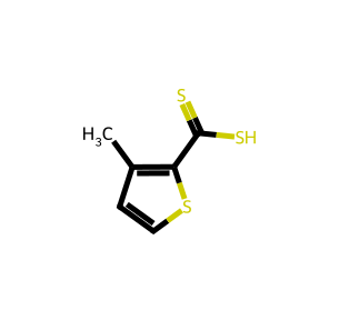 Cc1ccsc1C(=S)S